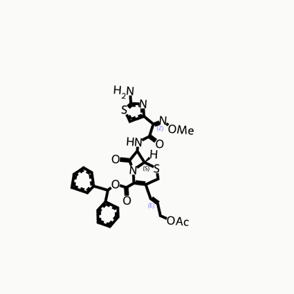 CO/N=C(\C(=O)NC1C(=O)N2C(C(=O)OC(c3ccccc3)c3ccccc3)=C(/C=C/COC(C)=O)CS[C@@H]12)c1csc(N)n1